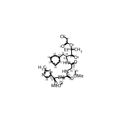 CC[C@@](C)(OC(=O)CCl)C(=O)[C@H](Cc1ccccc1)NC(=O)[C@H](COC)NC(=O)[C@H](COC)NC(=O)c1cnc(C)s1